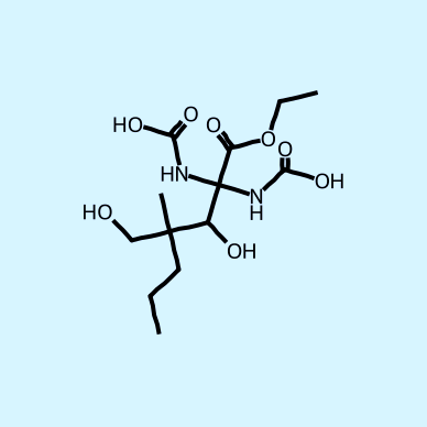 CCCC(C)(CO)C(O)C(NC(=O)O)(NC(=O)O)C(=O)OCC